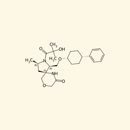 C[C@@H]1C[C@@]2(COCC(=O)N2)[C@H](CO[C@H]2CC[C@@H](c3ccccc3)CC2)N1C(=O)C(C)(C)O